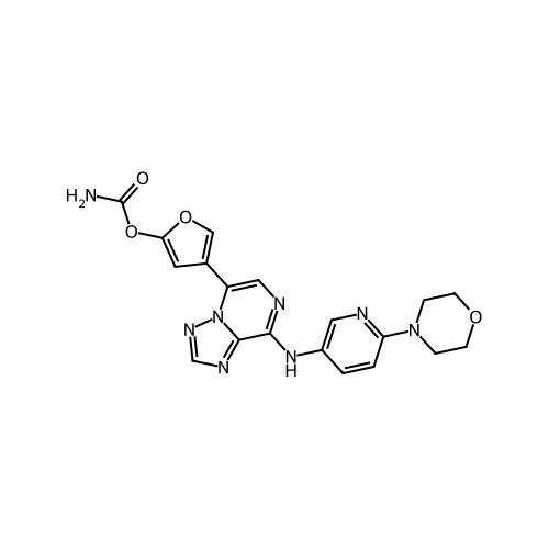 NC(=O)Oc1cc(-c2cnc(Nc3ccc(N4CCOCC4)nc3)c3ncnn23)co1